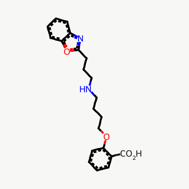 O=C(O)c1ccccc1OCCCCNCCCc1nc2ccccc2o1